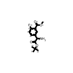 COC(=O)c1cc(C(N)C(=O)OC(C)(C)C)ccc1F